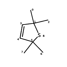 CC1(C)C=CC(C)(C)S1